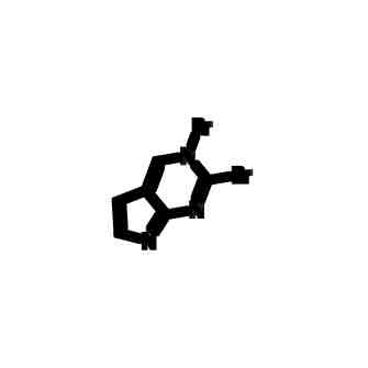 Brc1nc2nccc-2cn1Br